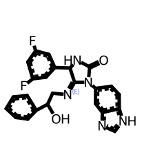 O=C1NC(c2cc(F)cc(F)c2)/C(=N\CC(O)c2ccccc2)N1c1ccc2[nH]cnc2c1